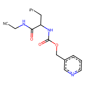 CC(C)CC(NC(=O)OCc1cccnc1)C(=O)NCC#N